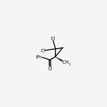 CC(C)C(=O)[C@@]1(C)CC1(Cl)Cl